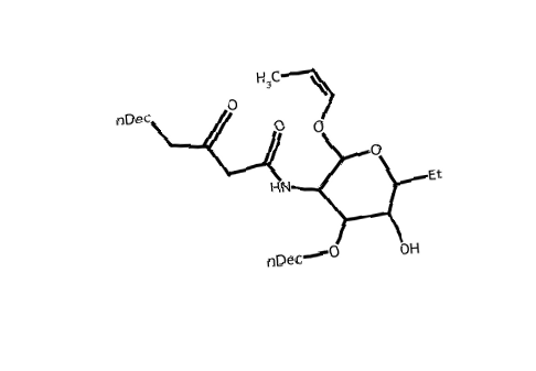 C/C=C\OC1OC(CC)C(O)C(OCCCCCCCCCC)C1NC(=O)CC(=O)CCCCCCCCCCC